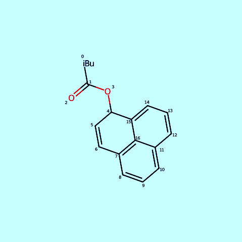 CCC(C)C(=O)OC1C=Cc2cccc3cccc1c23